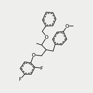 COc1ccc(CC(COc2ccc(F)cc2F)C(C)OCc2ccccc2)cc1